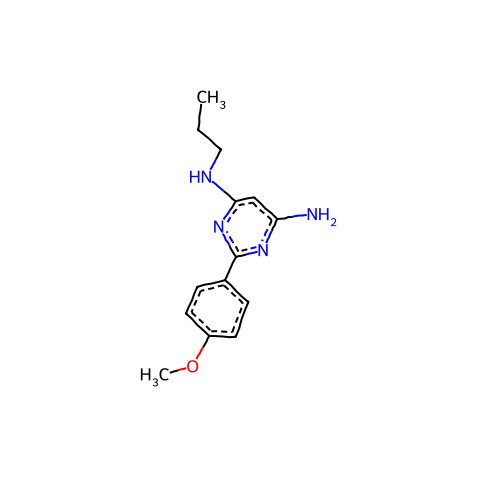 CCCNc1cc(N)nc(-c2ccc(OC)cc2)n1